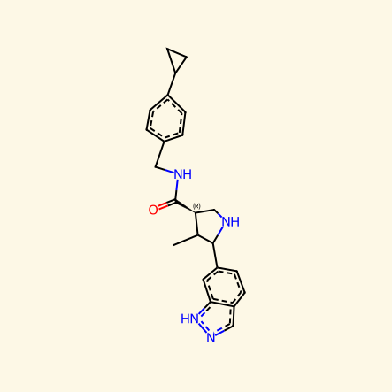 CC1C(c2ccc3cn[nH]c3c2)NC[C@@H]1C(=O)NCc1ccc(C2CC2)cc1